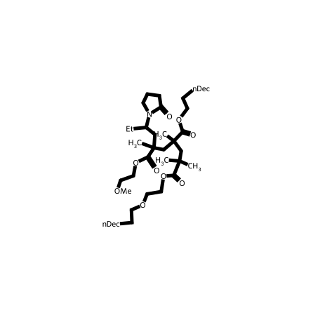 CCCCCCCCCCCCOCCOC(=O)C(C)(C)CC(C)(CC(C)(CC(CC)N1CCCC1=O)C(=O)OCCOC)C(=O)OCCCCCCCCCCCC